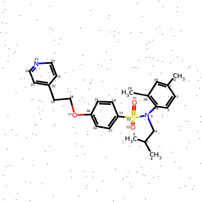 Cc1ccc(N(CC(C)C)S(=O)(=O)c2ccc(OCCc3ccncc3)cc2)c(C)c1